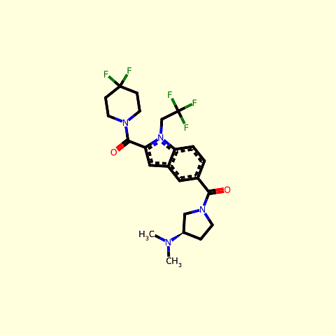 CN(C)[C@@H]1CCN(C(=O)c2ccc3c(c2)cc(C(=O)N2CCC(F)(F)CC2)n3CC(F)(F)F)C1